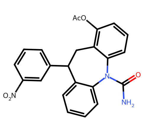 CC(=O)Oc1cccc2c1CC(c1cccc([N+](=O)[O-])c1)c1ccccc1N2C(N)=O